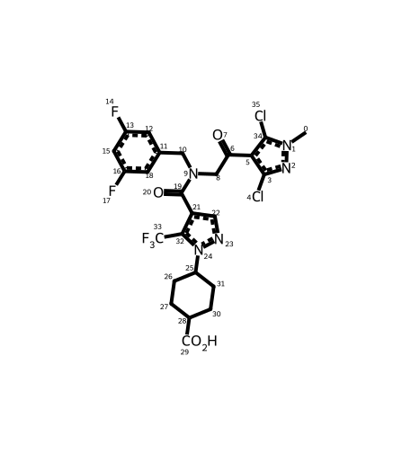 Cn1nc(Cl)c(C(=O)CN(Cc2cc(F)cc(F)c2)C(=O)c2cnn(C3CCC(C(=O)O)CC3)c2C(F)(F)F)c1Cl